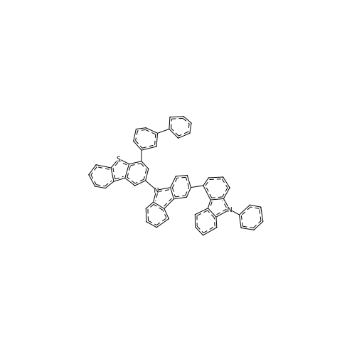 c1ccc(-c2cccc(-c3cc(-n4c5ccccc5c5cc(-c6cccc7c6c6ccccc6n7-c6ccccc6)ccc54)cc4c3sc3ccccc34)c2)cc1